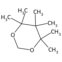 CC1(C)OCOC(C)(C)C1(C)C